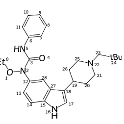 CCON(C(=O)Nc1ccccc1)c1ccc2[nH]cc(C3CCN(CC(C)(C)C)CC3)c2c1